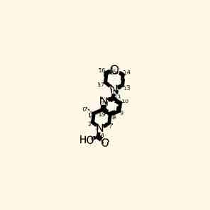 C[C@H]1CN(C(=O)O)Cc2ccc(N3CCOCC3)nc21